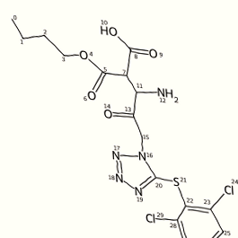 CCCCOC(=O)C(C(=O)O)C(N)C(=O)Cn1nnnc1Sc1c(Cl)cccc1Cl